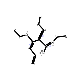 C=C\C=C(OCC)/C(=C\CC)C(/N)=N\CC